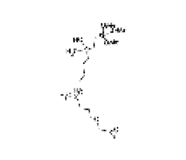 CO[Si](CC[Si](C)(O)CCCCO[SiH](C)CCCOCC1CO1)(OC)OC